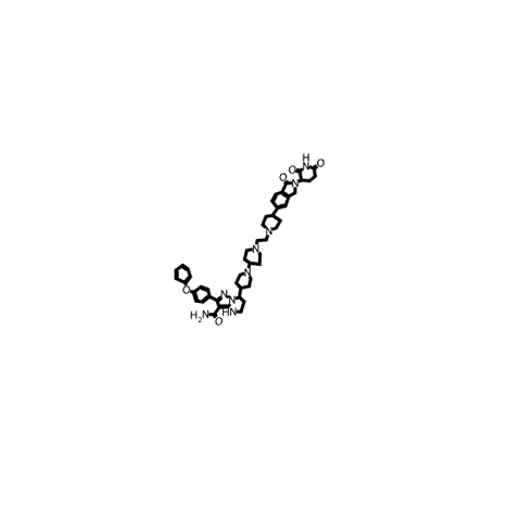 NC(=O)c1c(-c2ccc(Oc3ccccc3)cc2)nn2c1NCCC2C1CCN(C2CCN(CCN3CCC(c4ccc5c(c4)CN(C4CCC(=O)NC4=O)C5=O)CC3)CC2)CC1